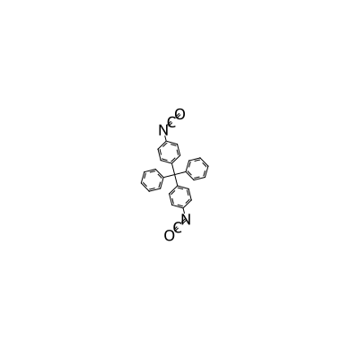 O=C=Nc1ccc(C(c2ccccc2)(c2ccccc2)c2ccc(N=C=O)cc2)cc1